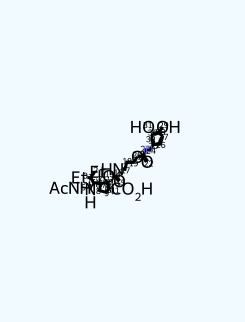 CCC(CC)[C@H](NNC(C)=O)[C@@]1(I)CC[C@H](C(=O)O)[C@H]1OC(=O)NCCCOC(=O)/C=C/c1ccc(O)c(O)c1